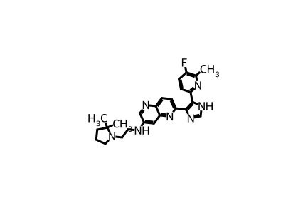 Cc1nc(-c2[nH]cnc2-c2ccc3ncc(NCCN4CCCC4(C)C)cc3n2)ccc1F